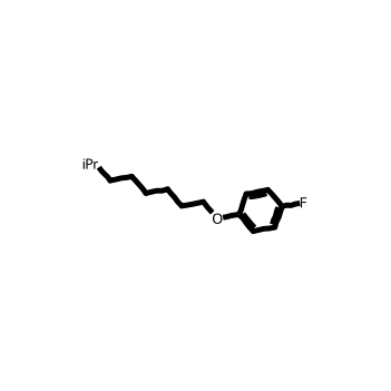 CC(C)CCCCCCOc1ccc(F)cc1